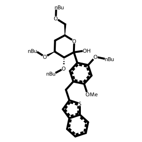 CCCCOC[C@@H]1C[C@H](OCCCC)[C@@H](OCCCC)C(O)(c2cc(Cc3cc4ccccc4s3)c(OC)cc2OCCCC)O1